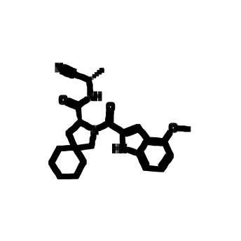 COc1cccc2[nH]c(C(=O)N3CC4(CCCCC4)C[C@H]3C(=O)N[C@@H](C)C#N)cc12